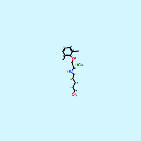 Cc1cccc(C)c1OCCNCCCCCO.Cl